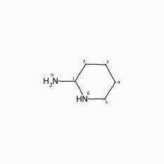 NC1CCCCN1